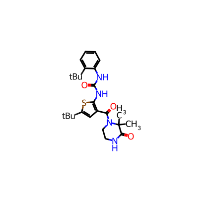 CC(C)(C)c1cc(C(=O)N2CCNC(=O)C2(C)C)c(NC(=O)Nc2ccccc2C(C)(C)C)s1